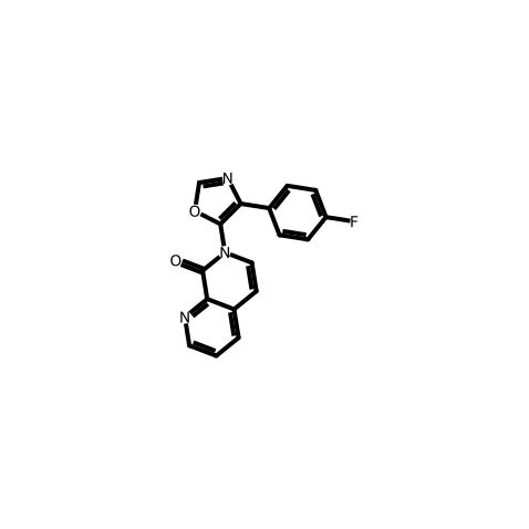 O=c1c2ncccc2ccn1-c1ocnc1-c1ccc(F)cc1